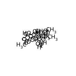 COc1cccc2c1C(=O)c1c(O)c3c(c(O)c1C2=O)C[C@@](O)(C(C)=O)C[C@@H]3OC1CC(NC(=O)C(F)(F)F)C(OC2CC(C)C(OC(C)=O)C(C)O2)C(C)O1